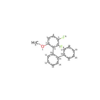 COc1ccc(F)c(F)c1-c1ccccc1-c1ccccc1